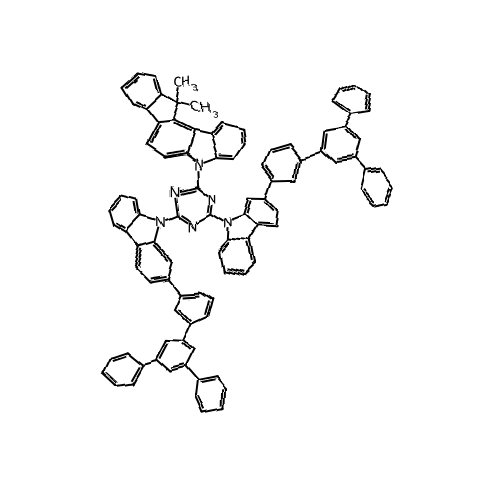 CC1(C)c2ccccc2-c2ccc3c(c21)c1ccccc1n3-c1nc(-n2c3ccccc3c3ccc(-c4cccc(-c5cc(-c6ccccc6)cc(-c6ccccc6)c5)c4)cc32)nc(-n2c3ccccc3c3ccc(-c4cccc(-c5cc(-c6ccccc6)cc(-c6ccccc6)c5)c4)cc32)n1